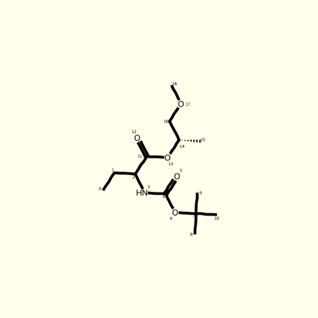 CCC(NC(=O)OC(C)(C)C)C(=O)O[C@@H](C)COC